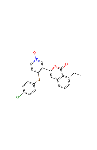 CCc1cccc2cc(-c3c[n+]([O-])ccc3Sc3ccc(Cl)cc3)oc(=O)c12